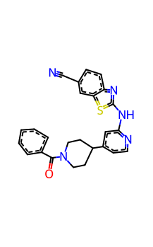 N#Cc1ccc2nc(Nc3cc(C4CCN(C(=O)c5ccccc5)CC4)ccn3)sc2c1